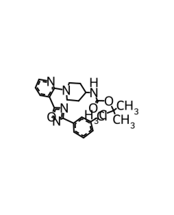 CC(C)(C)OC(=O)NC1CCN(c2ncccc2-c2nc(-c3cccc(Cl)c3)no2)CC1